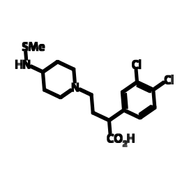 CSNC1CCN(CCC(C(=O)O)c2ccc(Cl)c(Cl)c2)CC1